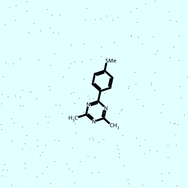 CSc1ccc(-c2nc(C)nc(C)n2)cc1